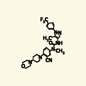 Cc1c(NC(=O)N(C)c2ccc(N3CCC(N4CCOCC4)CC3)c(C#N)c2)cnn1-c1ccc(C(F)(F)F)cc1